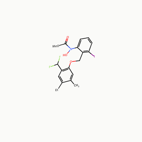 CCc1cc(C(F)F)c(OCc2c(I)cccc2N(O)C(=O)OC)cc1C